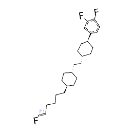 F/C=C/CCCC[C@H]1CC[C@H](CC[C@H]2CC[C@H](c3ccc(F)c(F)c3)CC2)CC1